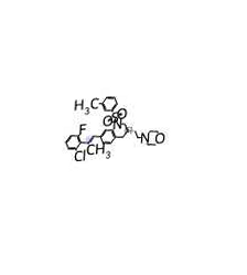 C/C(=C\c1ccc2c(c1)N(S(=O)(=O)c1cccc(C)c1)C[C@H](CCN1CCOCC1)C2)c1c(F)cccc1Cl